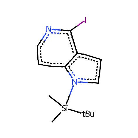 CC(C)(C)[Si](C)(C)n1ccc2c(I)nccc21